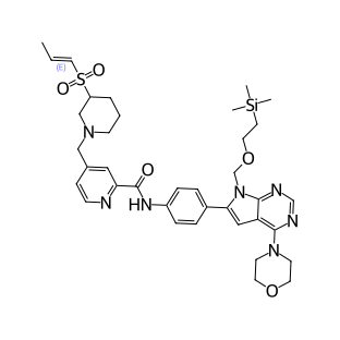 C/C=C/S(=O)(=O)C1CCCN(Cc2ccnc(C(=O)Nc3ccc(-c4cc5c(N6CCOCC6)ncnc5n4COCC[Si](C)(C)C)cc3)c2)C1